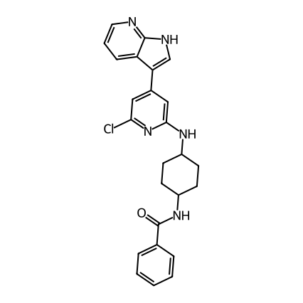 O=C(NC1CCC(Nc2cc(-c3c[nH]c4ncccc34)cc(Cl)n2)CC1)c1ccccc1